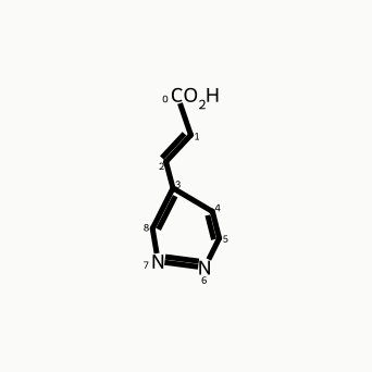 O=C(O)C=Cc1ccnnc1